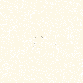 O=C(O)c1ccc(C(=O)O)s1.[Cu]